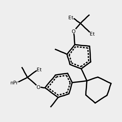 CCCC(C)(CC)Oc1ccc(C2(c3ccc(OC(C)(CC)CC)c(C)c3)CCCCC2)cc1C